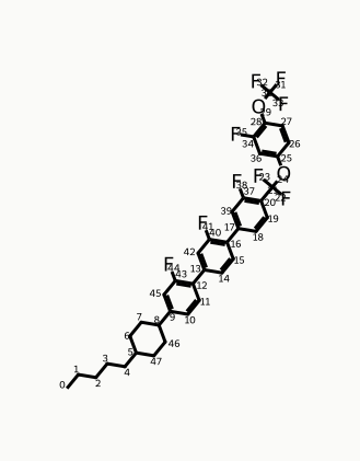 CCCCCC1CCC(c2ccc(-c3ccc(-c4ccc(C(F)(F)Oc5ccc(OC(F)(F)F)c(F)c5)c(F)c4)c(F)c3)c(F)c2)CC1